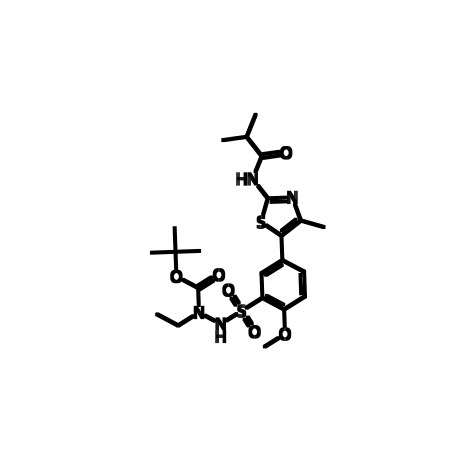 CCN(NS(=O)(=O)c1cc(-c2sc(NC(=O)C(C)C)nc2C)ccc1OC)C(=O)OC(C)(C)C